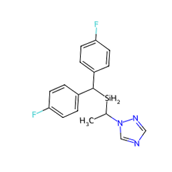 CC([SiH2]C(c1ccc(F)cc1)c1ccc(F)cc1)n1cncn1